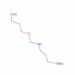 COCCCNCOCCCC=O